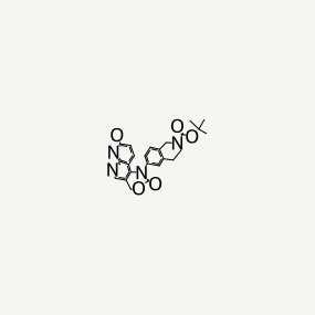 COc1ccc2c3c(cnc2n1)COC(=O)N3c1ccc2c(c1)CCN(C(=O)OC(C)(C)C)C2